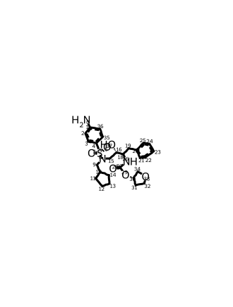 Nc1ccc(S(=O)(=O)N(CC2CCCC2)C[C@H](O)C(Cc2ccccc2)NC(=O)O[C@H]2CCOC2)cc1